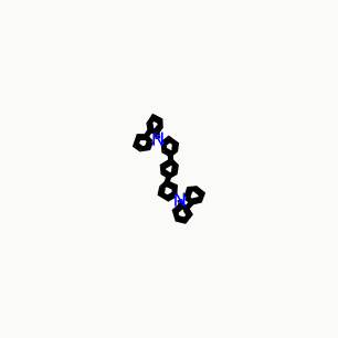 c1cc(-c2ccc(-c3cccc(-n4c5ccccc5c5ccccc54)c3)cc2)cc(-n2c3ccccc3c3ccccc32)c1